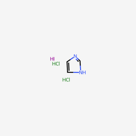 Cl.Cl.I.c1c[nH]cn1